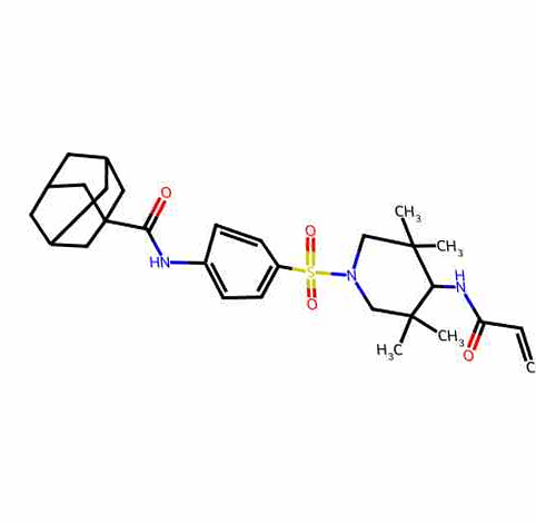 C=CC(=O)NC1C(C)(C)CN(S(=O)(=O)c2ccc(NC(=O)C34CC5CC(CC(C5)C3)C4)cc2)CC1(C)C